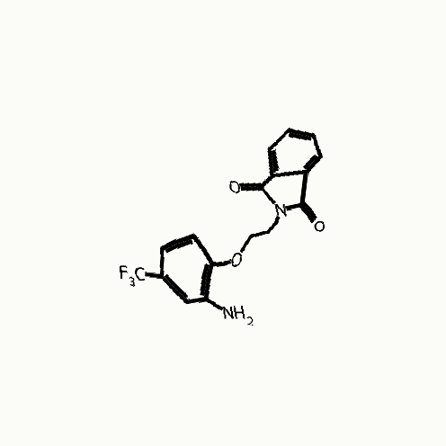 Nc1cc(C(F)(F)F)ccc1OCCN1C(=O)c2ccccc2C1=O